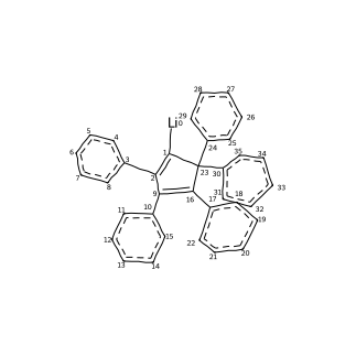 [Li][C]1=C(c2ccccc2)C(c2ccccc2)=C(c2ccccc2)C1(c1ccccc1)c1ccccc1